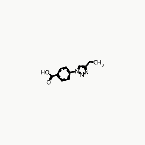 CCc1cn(-c2ccc(C(=O)O)cc2)nn1